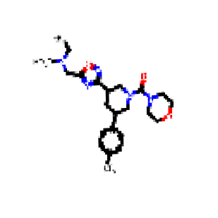 CC(C)(C)CN(Cc1nc(C2CC(c3ccc(C(F)(F)F)cc3)CN(C(=O)N3CCOCC3)C2)no1)C(=O)O